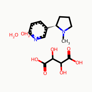 CN1CCC[C@H]1c1cccnc1.O.O.O=C(O)C(O)C(O)C(=O)O